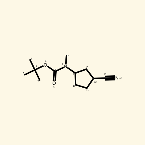 CN(C(=O)OC(C)(C)C)C1CCC(C#N)C1